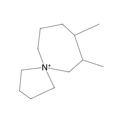 CC1CCC[N+]2(CCCC2)CC1C